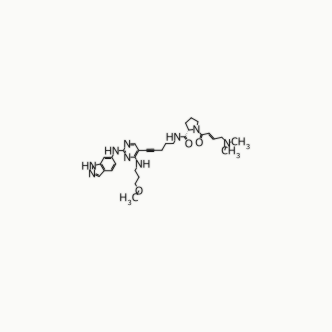 COCCCNc1nc(Nc2ccc3cn[nH]c3c2)ncc1C#CCCCNC(=O)[C@@H]1CCCN1C(=O)/C=C/CN(C)C